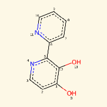 Oc1ccnc(-c2ccccn2)c1O